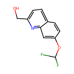 OCc1ccc2ccc(OC(F)F)cc2n1